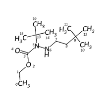 CCOC(=O)N(NCCC(C)(C)C)C(C)(C)C